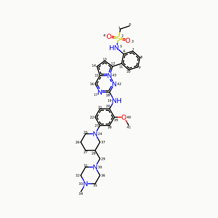 CCS(=O)(=O)Nc1ccccc1-c1ccc2cnc(Nc3ccc(N4CCCC(CN5CCN(C)CC5)C4)cc3OC)nn12